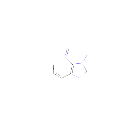 C=NC1=C(/C=C\C)NCN1C